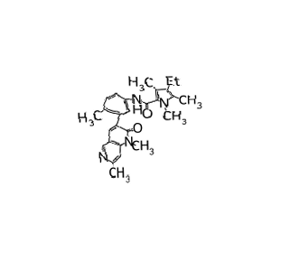 CCc1c(C)c(C(=O)Nc2ccc(C)c(-c3cc4cnc(C)cc4n(C)c3=O)c2)n(C)c1C